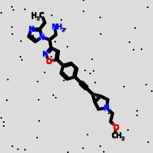 CCc1nccn1C(CN)c1cc(-c2ccc(C#CC3C4CN(CCOC)CC34)cc2)on1